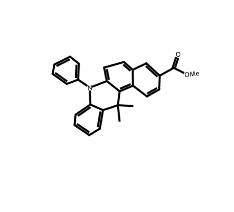 COC(=O)c1ccc2c3c(ccc2c1)N(c1ccccc1)c1ccccc1C3(C)C